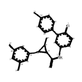 C=C(Nc1ccc(Cl)c(-c2ccc(C)cc2)c1)C1C(C)C1c1cc(C)cc(C)c1